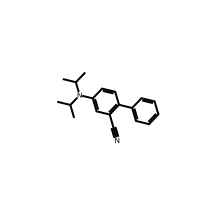 CC(C)N(c1ccc(-c2ccccc2)c(C#N)c1)C(C)C